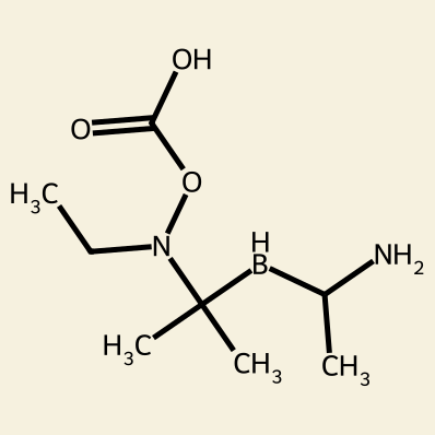 CCN(OC(=O)O)C(C)(C)BC(C)N